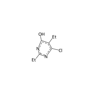 CCc1nc(O)c(CC)c(Cl)n1